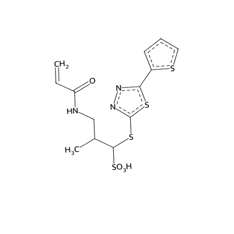 C=CC(=O)NCC(C)C(Sc1nnc(-c2cccs2)s1)S(=O)(=O)O